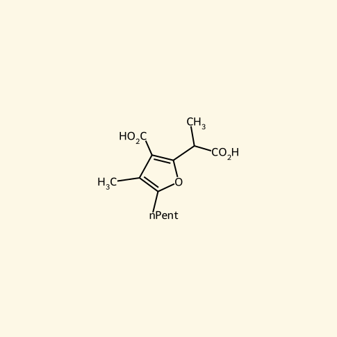 CCCCCc1oc(C(C)C(=O)O)c(C(=O)O)c1C